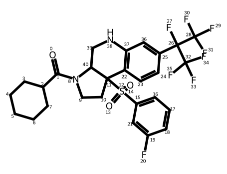 O=C(C1CCCCC1)N1CCC2(S(=O)(=O)c3cccc(F)c3)c3ccc(C(F)(C(F)(F)F)C(F)(F)F)cc3NCC12